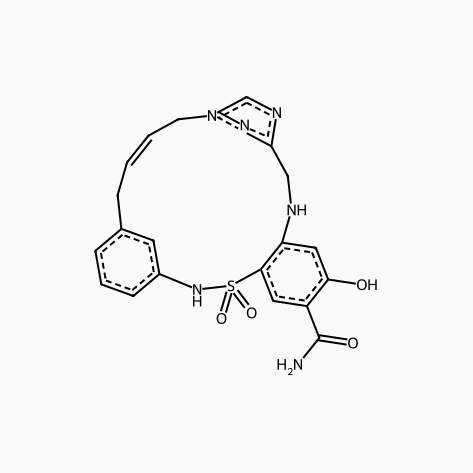 NC(=O)c1cc2c(cc1O)NCc1ncn(n1)C/C=C\Cc1cccc(c1)NS2(=O)=O